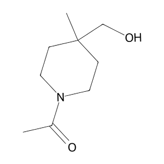 CC(=O)N1CCC(C)(CO)CC1